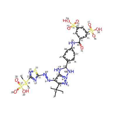 CC(C)(C)c1nn2c(c1N=Nc1nc(S(C)(C)S(=O)(=O)O)ns1)NC(c1ccc(NC(=O)c3cc(S(=O)(=O)O)cc(S(=O)(=O)O)c3)cc1)N2